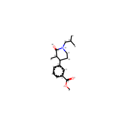 COC(=O)c1cccc(C2CCN(C[C](C)C)C(=O)C2C)c1